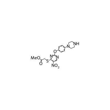 COC(=O)CSc1nc(Oc2ccc(N3CCNCC3)cc2)ncc1[N+](=O)[O-]